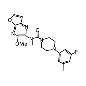 COc1nc2occc2nc1NC(=O)N1CCN(c2cc(C)cc(F)c2)CC1